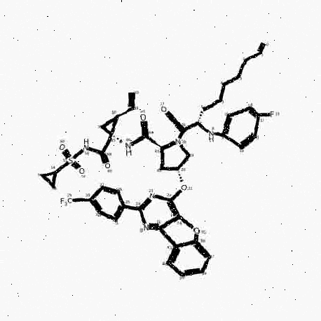 C=CCCCCC[C@H](Nc1ccc(F)cc1)C(=O)N1C[C@H](Oc2nc(-c3ccc(C(F)(F)F)cc3)nc3c2oc2ccccc23)C[C@H]1C(=O)N[C@]1(C(=O)NS(=O)(=O)C2CC2)C[C@H]1C=C